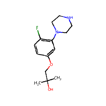 CC(C)(O)COc1ccc(F)c(N2CCNCC2)c1